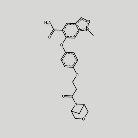 Cn1ncc2cc(C(N)=O)c(Oc3ccc(OCCC(=O)N4C5COCC4C5)cc3)cc21